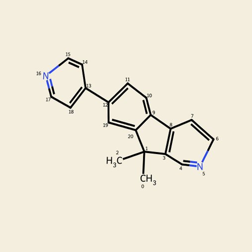 CC1(C)c2cnccc2-c2ccc(-c3ccncc3)cc21